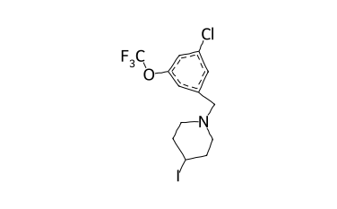 FC(F)(F)Oc1cc(Cl)cc(CN2CCC(I)CC2)c1